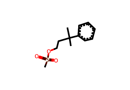 CC(C)(CCOS(C)(=O)=O)c1ccccc1